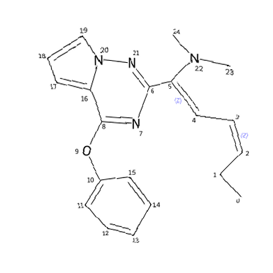 CC/C=C\C=C(\c1nc(Oc2ccccc2)c2cccn2n1)N(C)C